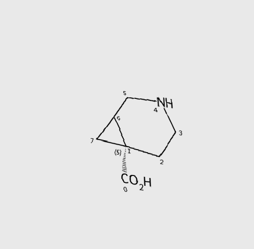 O=C(O)[C@@]12CCNCC1C2